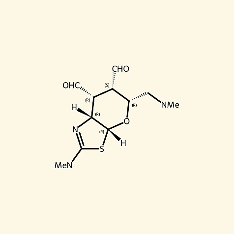 CNC[C@@H]1O[C@@H]2SC(NC)=N[C@@H]2[C@H](C=O)[C@@H]1C=O